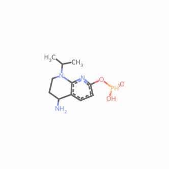 CC(C)N1CCC(N)c2ccc(O[PH](=O)O)nc21